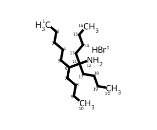 Br.CCCCCC(CCCC)C(N)(CCCC)CCCC